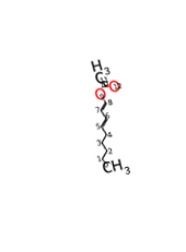 CCCCCC=CC=COC(C)=O